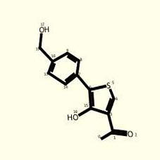 CC(=O)c1csc(-c2ccc(CO)cc2)c1O